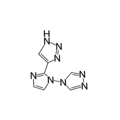 c1cn(-n2cnnc2)c(-c2c[nH]nn2)n1